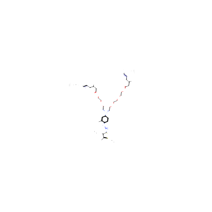 CCCCC/C=C/CC(CC(=O)OCCOCCN(CCOCCOCCOC(=O)CC(C/C=C/CCCCCCC)C(=O)O)c1ccc(/N=N/C2SC(C#N)=C(C)C2C#N)c(C)c1)C(=O)O